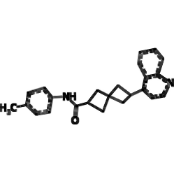 Cc1ccc(NC(=O)C2CC3(C2)CC(c2ccnc4ccccc24)C3)cc1